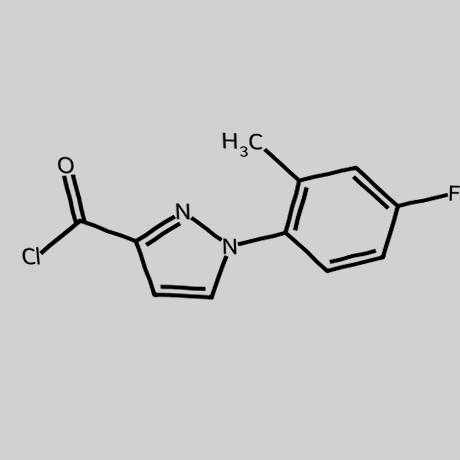 Cc1cc(F)ccc1-n1ccc(C(=O)Cl)n1